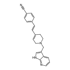 N#Cc1ccc(C=CC2=CCN(Cc3c[nH]c4ncccc34)CC2)cc1